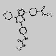 CNC(=O)Nc1ccc(-c2nc(N3CCOCC3)c3onc(C4CCN(C(=O)OC)CC4)c3n2)cc1